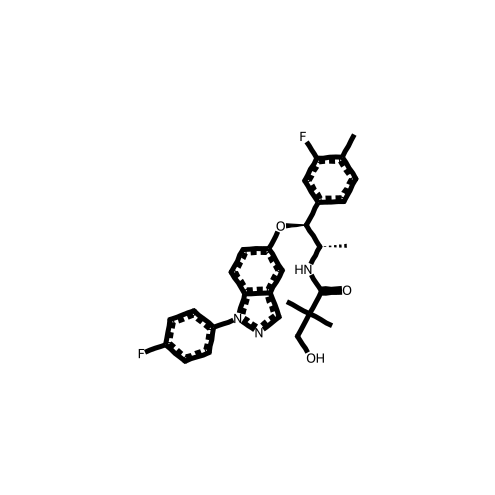 Cc1ccc([C@H](Oc2ccc3c(cnn3-c3ccc(F)cc3)c2)[C@H](C)NC(=O)C(C)(C)CO)cc1F